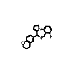 Fc1cccc2c1CN=C(c1ccc3c(c1)CCCO3)c1cccn1-2